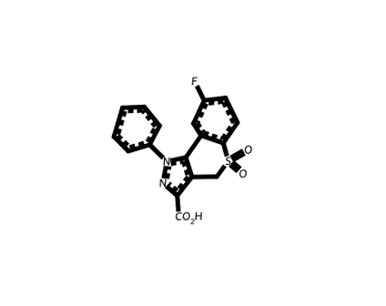 O=C(O)c1nn(-c2ccccc2)c2c1CS(=O)(=O)c1ccc(F)cc1-2